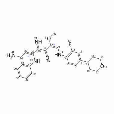 CO/C(=C/Nc1ccc(C2CCOCC2)cc1F)C(=O)C(=N)/C(=C/CN)Nc1ccccc1